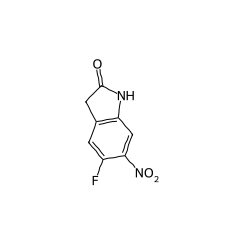 O=C1Cc2cc(F)c([N+](=O)[O-])cc2N1